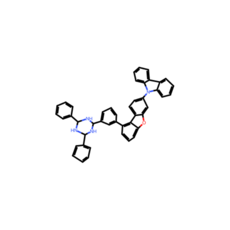 c1ccc(C2NC(c3ccccc3)NC(c3cccc(-c4cccc5oc6cc(-n7c8ccccc8c8ccccc87)ccc6c45)c3)N2)cc1